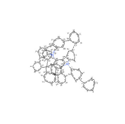 c1ccc(-c2ccc(N(c3ccc(-c4ccccc4-c4ccc5c6ccccc6n(-c6cccc7c6C(c6ccccc6)(c6ccccc6)c6ccccc6-7)c5c4)cc3)c3cccc4ccccc34)cc2)cc1